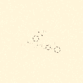 Cc1cccc(-n2cc3c(n2)CN(C(=O)c2cc(S(=O)(=O)C(C)C)ccc2O[C@@H](C)C(F)(F)F)C3)c1F